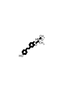 CC(=O)N[C@H](C)[C@H]1Cc2ccc(CCc3ccc(O)cc3)cc2O1